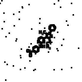 CSc1nn(-c2ccccc2)c(C)c1-c1ccnc(Nc2ccc([N+](=O)[O-])cc2)n1